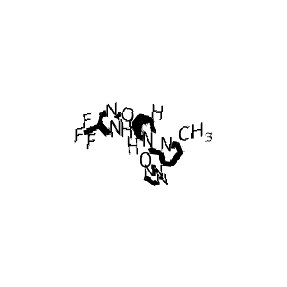 Cc1ccc(-n2nccn2)c(C(=O)N2C[C@@H]3CC[C@H]2[C@H](Oc2ncc(C(F)(F)F)cn2)C3)n1